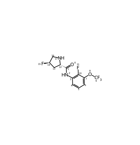 O=C(Nc1cccc(OC(F)(F)F)c1F)[C@@H]1C[C@@H](F)CN1